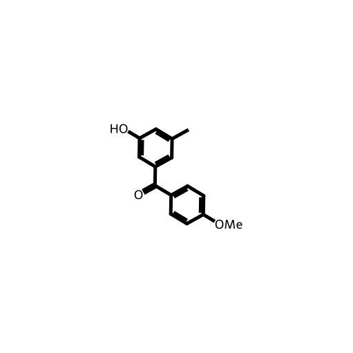 COc1ccc(C(=O)c2cc(C)cc(O)c2)cc1